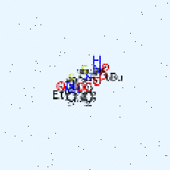 CCC(=O)NN1C=C(C2=C(C(=O)OC(c3ccccc3)c3ccccc3)N3C(=O)C(NC(=O)OC(C)(C)C)C3SC2)SC1